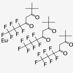 CC(C)(C)C(=O)CC(=O)C(F)(F)C(F)(F)C(F)(F)F.CC(C)(C)C(=O)CC(=O)C(F)(F)C(F)(F)C(F)(F)F.CC(C)(C)C(=O)CC(=O)C(F)(F)C(F)(F)C(F)(F)F.[Eu]